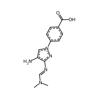 CN(C)/C=N/c1nn(-c2ccc(C(=O)O)cc2)cc1N